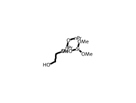 CCCOCCC.CO[Si](OC)OC.OCCO